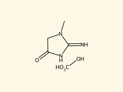 CN1CC(=O)NC1=N.O=C(O)O